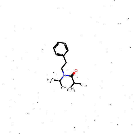 CC(C)C(=O)N(CCc1ccccc1)C(C)C